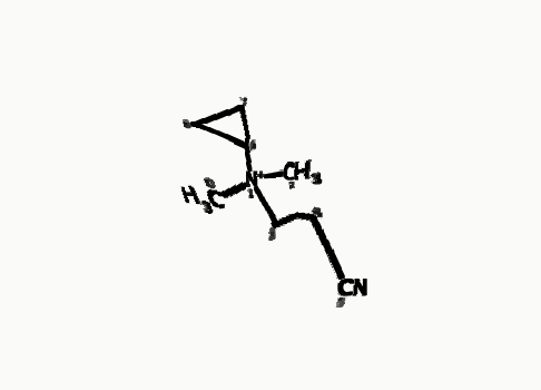 C[N+](C)(CCC#N)C1CC1